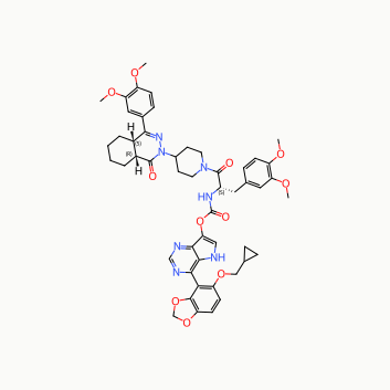 COc1ccc(C[C@H](NC(=O)Oc2c[nH]c3c(-c4c(OCC5CC5)ccc5c4OCO5)ncnc23)C(=O)N2CCC(N3N=C(c4ccc(OC)c(OC)c4)[C@H]4CCCC[C@H]4C3=O)CC2)cc1OC